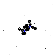 c1ccc(-c2ccc(N(c3ccc(-c4ccccc4)cc3)c3cc4c5c(ccc6cc(N(c7ccc(-c8ccccc8)cc7)c7cccc8ccccc78)cc(c65)C4(c4ccccc4)c4ccccc4)c3)cc2)cc1